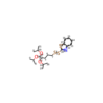 CC(C)O[Si](CCCSSc1nc2ccccc2s1)(OC(C)C)OC(C)C